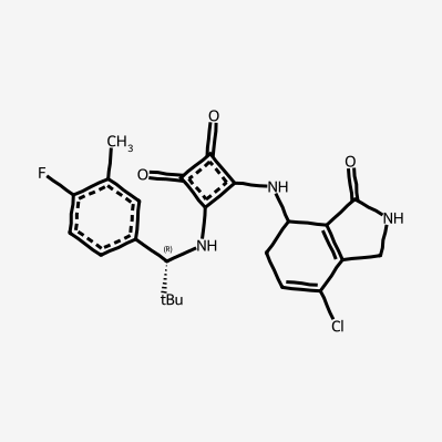 Cc1cc([C@H](Nc2c(NC3CC=C(Cl)C4=C3C(=O)NC4)c(=O)c2=O)C(C)(C)C)ccc1F